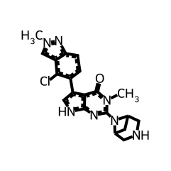 Cn1cc2c(Cl)c(-c3c[nH]c4nc(N5C6CNCC5C6)n(C)c(=O)c34)ccc2n1